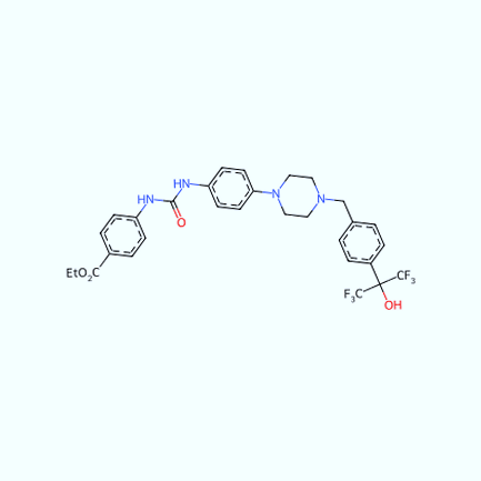 CCOC(=O)c1ccc(NC(=O)Nc2ccc(N3CCN(Cc4ccc(C(O)(C(F)(F)F)C(F)(F)F)cc4)CC3)cc2)cc1